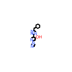 Oc1cc(-n2ccnc2)ncc1-c1ncc(C=C2CCCCC2)nn1